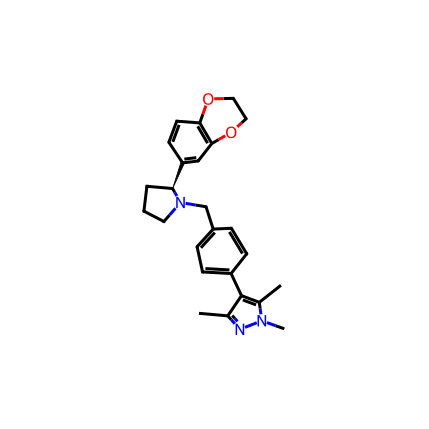 Cc1nn(C)c(C)c1-c1ccc(CN2CCC[C@H]2c2ccc3c(c2)OCCO3)cc1